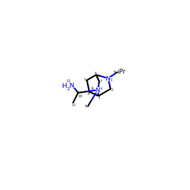 CC(C)N1CC2CCC1C[N+]2(C)C(C)N